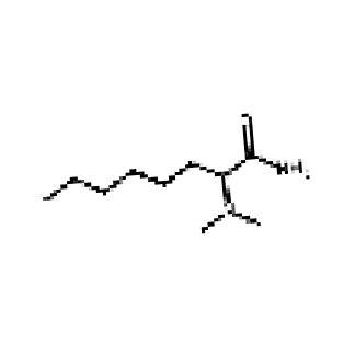 CCCCCCC(C(N)=O)N(C)C